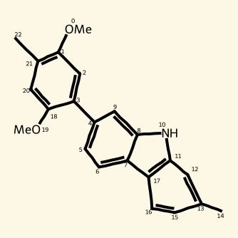 COc1cc(-c2ccc3c(c2)[nH]c2cc(C)ccc23)c(OC)cc1C